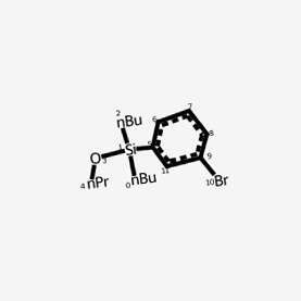 CCCC[Si](CCCC)(OCCC)c1cccc(Br)c1